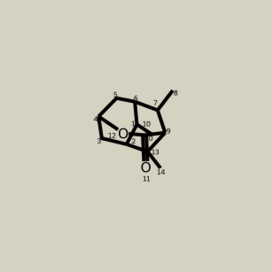 CC1C2CC3CC1C(C)C(C(=O)O3)C2C